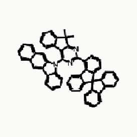 CC1(C)c2ccccc2-c2c(-n3c4ccccc4c4cc5ccccc5cc43)nc(-c3cccc4c3-c3ccccc3C43c4ccccc4-c4ccccc43)nc21